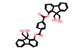 O=C(Oc1cccc2c1C(CO)(CO)c1ccccc1-2)c1ccc(C(=O)Oc2cccc3c2C(CO)(CO)c2ccccc2-3)cc1